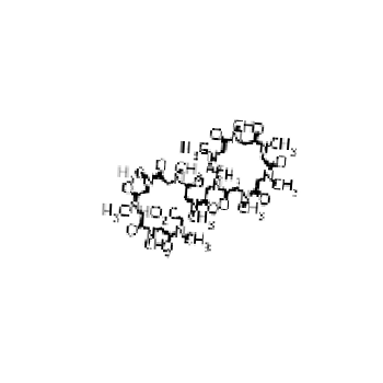 CC(=O)N(C)CC(=O)N(C)CC(=O)N(C)CC(=O)N(C)CC(=O)N(C)CC(=O)N(C)CC(=O)N(C)CC(=O)N(C)CC(=O)N(C)CC(=O)N(C)CC(=O)N(C)CC(=O)N(C)CC(=O)O